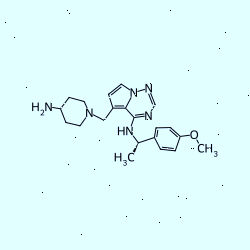 COc1ccc([C@@H](C)Nc2ncnn3ccc(CN4CCC(N)CC4)c23)cc1